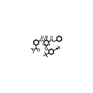 CN(C)C(=O)c1cccc(Oc2nc(Oc3cc(C#N)ccc3C(C)(C)C)nc(NCc3ccccc3)c2N)c1